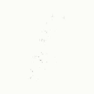 Cc1ccc(NC(=O)NCCn2c(=O)n(C3CCCC(=O)NC3=O)c3ccccc32)cc1Cl